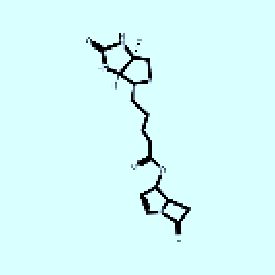 O=C1N[C@H]2[C@H](CS[C@H]2CCCCC(=O)OC2C=CN3C(=O)CC23)N1